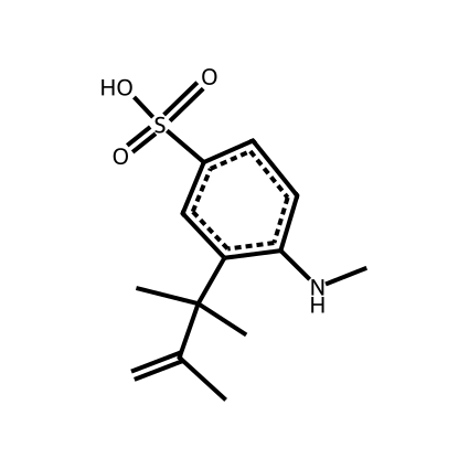 C=C(C)C(C)(C)c1cc(S(=O)(=O)O)ccc1NC